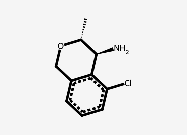 C[C@H]1OCc2cccc(Cl)c2[C@@H]1N